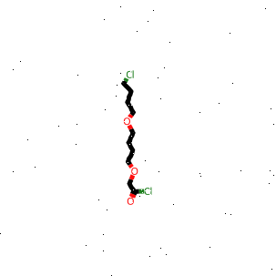 O=C(Cl)COCCCCOCCCCCl